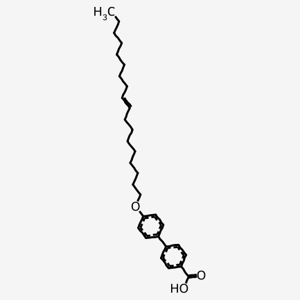 CCCCCCCCC=CCCCCCCCCOc1ccc(-c2ccc(C(=O)O)cc2)cc1